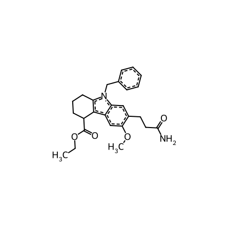 CCOC(=O)C1CCCc2c1c1cc(OC)c(CCC(N)=O)cc1n2Cc1ccccc1